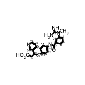 CN(C(=N)N)c1cccc(C(=O)Nc2ccc(SC(CC(=O)O)c3cccnc3)cc2)c1